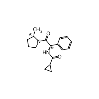 C[C@@H]1CCCN1C(=O)[C@H](NC(=O)C1CC1)c1ccccc1